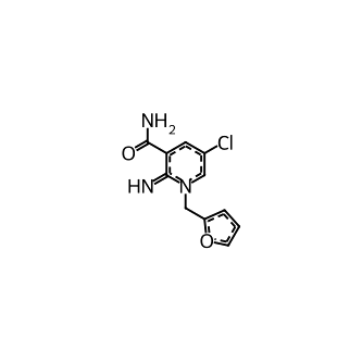 N=c1c(C(N)=O)cc(Cl)cn1Cc1ccco1